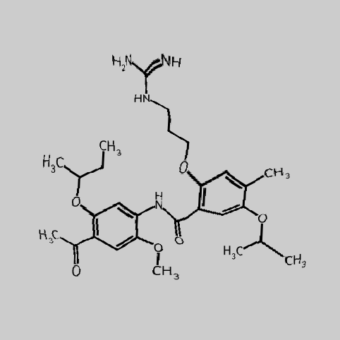 CCC(C)Oc1cc(NC(=O)c2cc(OC(C)C)c(C)cc2OCCCNC(=N)N)c(OC)cc1C(C)=O